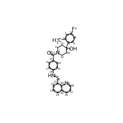 Cc1cc(F)ccc1C1(O)CCN(C(=O)c2ccc(NSc3cccc4cccnc34)cc2)CC1